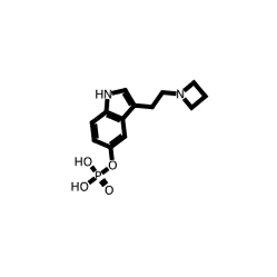 O=P(O)(O)Oc1ccc2[nH]cc(CCN3CCC3)c2c1